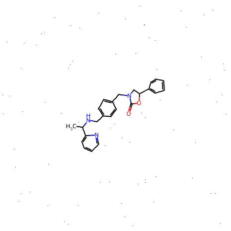 CC(NCc1ccc(CN2CC(c3ccccc3)OC2=O)cc1)c1ccccn1